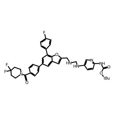 CC(C)(C)OC(=O)Nc1ccc(NCNCc2cc3cc(-c4ccc(C(=O)N5CCC(F)(F)CC5)cc4)cc(-c4ccc(F)cc4)c3o2)cn1